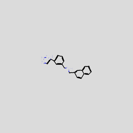 c1cc(CNCc2ccc3ccccc3c2)cc(-c2cnn[nH]2)c1